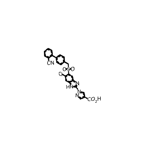 N#Cc1ccccc1-c1ccc(CS(=O)(=O)c2cc3nc(-n4cc(C(=O)O)cn4)[nH]c3cc2Cl)cc1